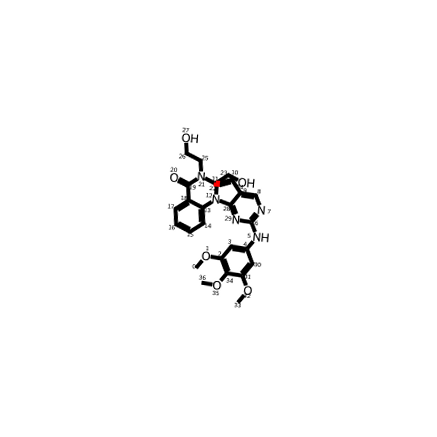 COc1cc(Nc2ncc3ccn(-c4ccccc4C(=O)N(CCO)CCO)c3n2)cc(OC)c1OC